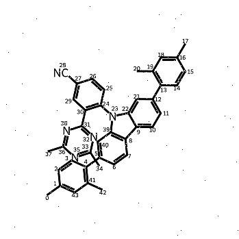 Cc1ccc(-c2ccc3c4ccc(-c5ccc(C)cc5C)cc4n(-c4ccc(C#N)cc4-c4nc(C)nc(C)n4)c3c2)c(C)c1